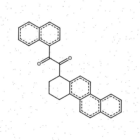 O=C(C(=O)C1CCCc2c1ccc1c2ccc2ccccc21)c1cccc2ccccc12